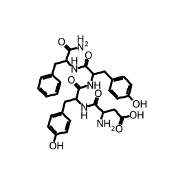 NC(=O)C(Cc1ccccc1)NC(=O)C(Cc1ccc(O)cc1)NC(=O)C(Cc1ccc(O)cc1)NC(=O)C(N)CC(=O)O